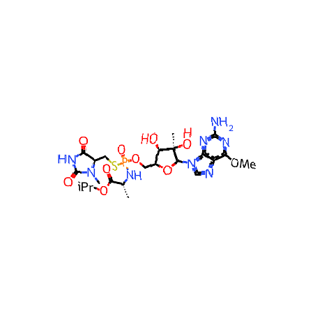 COc1nc(N)nc2c1ncn2C1OC(COP(=O)(N[C@H](C)C(=O)OC(C)C)SCC2C(=O)NC(=O)N2C)[C@@H](O)[C@@]1(C)O